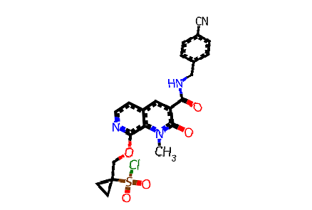 Cn1c(=O)c(C(=O)NCc2ccc(C#N)cc2)cc2ccnc(OCC3(S(=O)(=O)Cl)CC3)c21